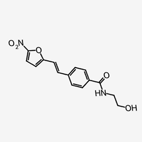 O=C(NCCO)c1ccc(C=Cc2ccc([N+](=O)[O-])o2)cc1